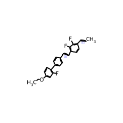 C/C=C/c1ccc(/C=C/c2ccc(-c3ccc(OCC)cc3F)cc2)c(F)c1F